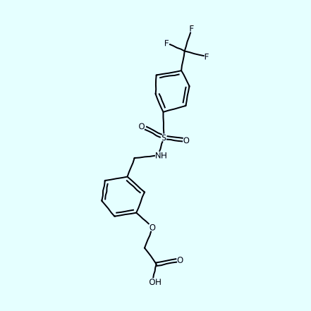 O=C(O)COc1cccc(CNS(=O)(=O)c2ccc(C(F)(F)F)cc2)c1